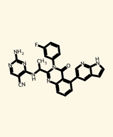 CC(Nc1nc(N)ncc1C#N)c1nc2cccc(-c3cnc4[nH]ccc4c3)c2c(=O)n1-c1cccc(F)c1